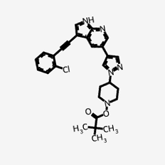 CC(C)(C)C(=O)ON1CCC(n2cc(-c3cnc4[nH]cc(C#Cc5ccccc5Cl)c4c3)cn2)CC1